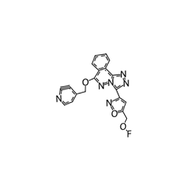 FOCc1cc(-c2nnc3c4ccccc4c(OCc4c#cncc4)nn23)no1